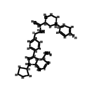 Nc1ncnc2c1c(-c1ccc(CNC(=O)C3CN(c4ccc(F)cc4)CCO3)cc1)nn2C1CCCC1